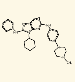 CN1CCN(c2ccc(Nc3ncc4nc(Nc5ccccc5)n(C5CCCCC5)c4n3)cc2)CC1